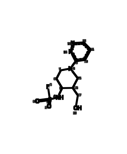 O=S(=O)(F)NC1CCN(c2cccnn2)CC1CO